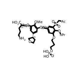 CCCOc1c(OCCCOP(=O)(O)O)c[c]([K])cc1S(=O)(=O)CC(C)=O.COc1cc([C@@H]2CCOC2)cc(OC)c1OC.NCCC[C@H](N)C(=O)O